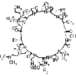 C/C=C/C[C@@H](C)[C@@H](O)[C@H]1C(=O)N[C@@H](CC)C(=O)N(C)[C@H](COCCN(C)C)C(=O)N(C)[C@@H](CC(C)(C)OC)C(=O)N[C@@H](C(C)C)C(=O)N(C)[C@@H](CC(C)C)C(=O)N[C@@H](C)C(=O)N[C@H](C)C(=O)N(C)[C@@H](CC(C)C)C(=O)N(C)[C@@H](CC(C)C)C(=O)N(C)[C@@H](C(C)C)C(=O)N1C